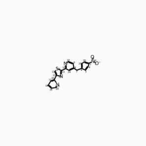 O=[N+]([O-])c1ccc(Cc2ccnc(-c3nc(-c4ccccn4)cs3)c2)cc1